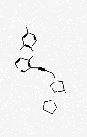 Nc1ccc(Oc2ccncc2C#CCN2C[C@@H](O)[C@H](N3CCCC3)C2)c(F)c1